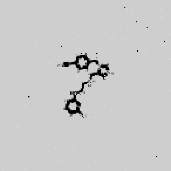 N#Cc1ccc(Cn2cncc2CNCCNc2cccc(Cl)c2)cc1